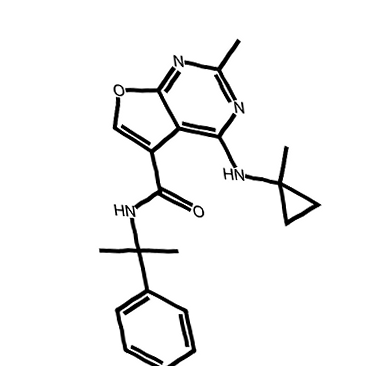 Cc1nc(NC2(C)CC2)c2c(C(=O)NC(C)(C)c3ccccc3)coc2n1